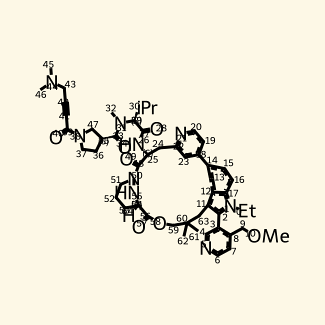 CCn1c(-c2cnccc2COC)c2c3cc(ccc31)-c1ccnc(c1)C[C@H](NC(=O)[C@H](C(C)C)N(C)C(=O)[C@H]1CCN(C(=O)C#CCN(C)C)C1)C(=O)N1CCC[C@H](N1)C(=O)OCC(C)(C)C2